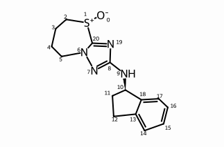 [O-][S+]1CCCCn2nc(N[C@@H]3CCc4ccccc43)nc21